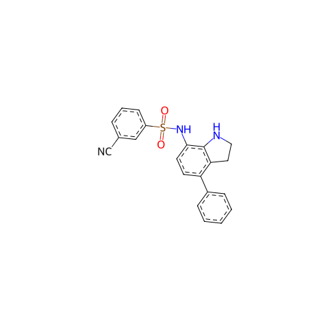 N#Cc1cccc(S(=O)(=O)Nc2ccc(-c3ccccc3)c3c2NCC3)c1